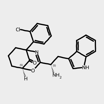 N[C@@H](Cc1c[nH]c2ccccc12)C1=NC2(c3ccccc3Cl)CCC[C@H](O1)C2=O